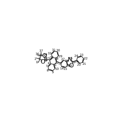 CC1(C)OB(c2c3ccccc3c(-c3ccc4oc(-c5ccccc5)nc4c3)c3ccccc23)OC1(C)C